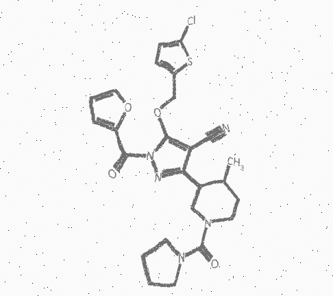 CC1CCN(C(=O)N2CCCC2)CC1c1nn(C(=O)c2ccco2)c(OCc2ccc(Cl)s2)c1C#N